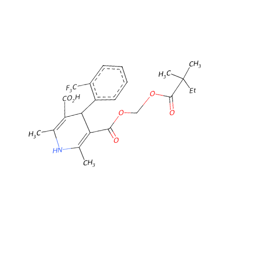 CCC(C)(C)C(=O)OCOC(=O)C1=C(C)NC(C)=C(C(=O)O)C1c1ccccc1C(F)(F)F